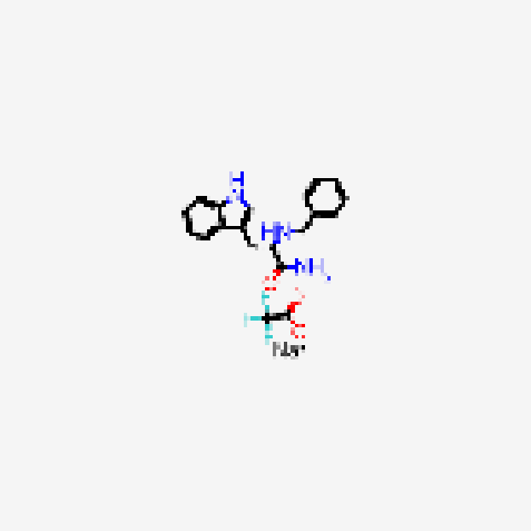 NC(=O)[C@H](Cc1c[nH]c2ccccc12)NCc1ccccc1.O=C([O-])C(F)(F)F.[Na+]